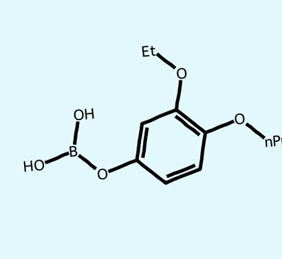 CCCOc1ccc(OB(O)O)cc1OCC